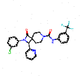 O=C(Nc1cccc(C(F)(F)F)c1)N1CCC2(CC1)C(=O)N(c1cccc(Cl)c1)C2c1ccccn1